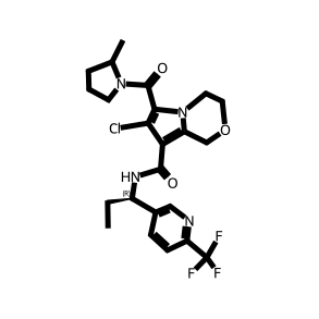 CC[C@@H](NC(=O)c1c(Cl)c(C(=O)N2CCCC2C)n2c1COCC2)c1ccc(C(F)(F)F)nc1